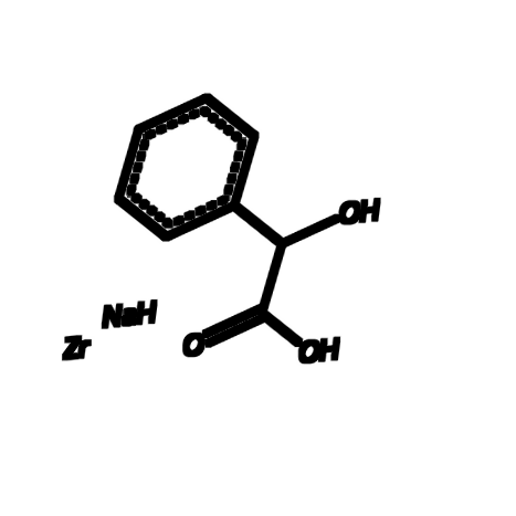 O=C(O)C(O)c1ccccc1.[NaH].[Zr]